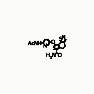 CC(=O)Nc1ccc(Oc2sc(C(N)=O)c3c2-c2sncc2CC3)cn1